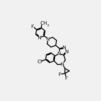 Cc1cc(N2CCC(c3nnc4n3-c3ccc(Cl)cc3CN(C3CC3(F)F)C4)CC2)ncc1F